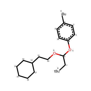 CCC(C)c1ccc(OC(CC(C)(C)C)OCCC2CCCCC2)cc1